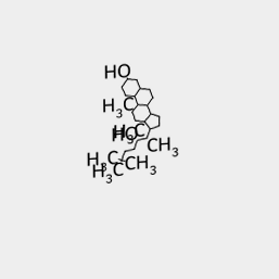 CC(C(O)CCC(C)(C)C)C1CCC2C3CCC4CC(O)CCC4(C)C3CCC12C